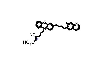 Cc1cc2ncccc2cc1CCCCC1=CC2Sc3ccccc3N(CCC/C(C#N)=C/C(=O)O)C2C=C1